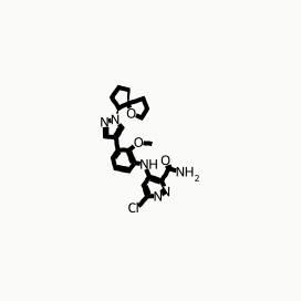 COc1c(Nc2cc(Cl)nnc2C(N)=O)cccc1-c1cnn([C@@H]2CCC[C@]23CCCO3)c1